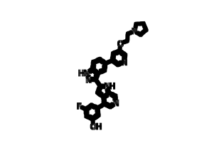 Oc1cc(F)cc(-c2cncc3[nH]c(-c4n[nH]c5ccc(-c6cncc(OCCN7CCCC7)c6)cc45)cc23)c1